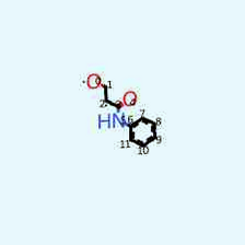 [O]C[CH]C(=O)Nc1ccccc1